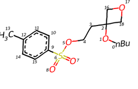 CCCCOC1(CCOS(=O)(=O)c2ccc(C)cc2)COC1